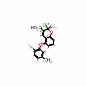 Cc1ccc(F)c(Oc2cccc3c2C=C(C(=O)O)C(Cl)(C(F)(F)F)O3)c1